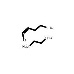 CC/C=C\CCC=O.CCCCCCCCCC=O